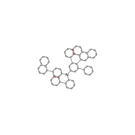 c1ccc(-c2ccccc2N(c2ccc(-c3cccc4ccccc34)cc2)c2cc(-c3ccccc3)c(-c3cc4ccccc4c4ccccc34)c(-c3ccccc3)c2)cc1